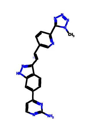 Cn1nnnc1-c1ccc(/C=C/c2n[nH]c3cc(-c4ccnc(N)n4)ccc23)cn1